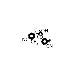 C[C@@](O)(COc1ccc(C#N)c(F)c1)C(=O)Nc1ccc(C#N)c(C(F)(F)F)c1